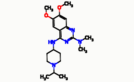 COc1cc2nc(N(C)C)nc(NC3CCN(C(C)C)CC3)c2cc1OC